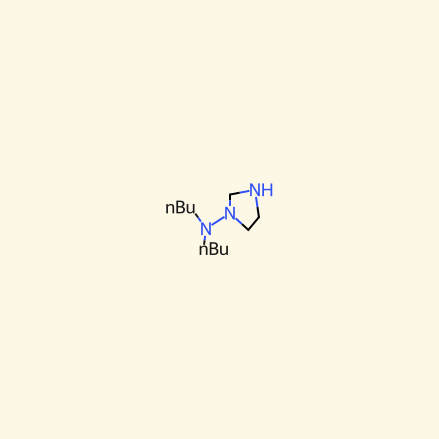 CCCCN(CCCC)N1CCNC1